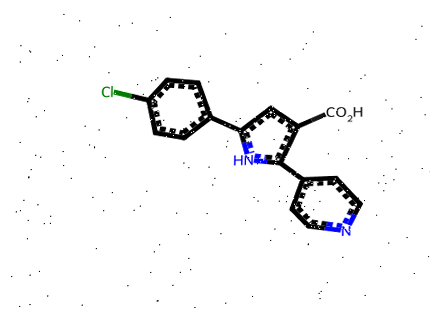 O=C(O)c1cc(-c2ccc(Cl)cc2)[nH]c1-c1ccncc1